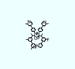 Cc1cc(-c2ccnc(C)c2)cc(C(C)C(=O)N(c2ccc(-c3ccnc(C)c3)cc2)N(C(=O)C(C)c2cc(F)cc(-c3cccnc3)c2)c2ccc(-c3ccnc(C)c3)cc2)c1